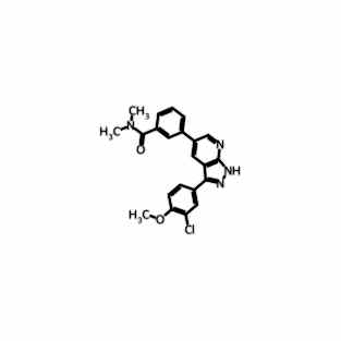 COc1ccc(-c2n[nH]c3ncc(-c4cccc(C(=O)N(C)C)c4)cc23)cc1Cl